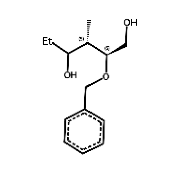 CCC(O)[C@H](C)[C@@H](CO)OCc1ccccc1